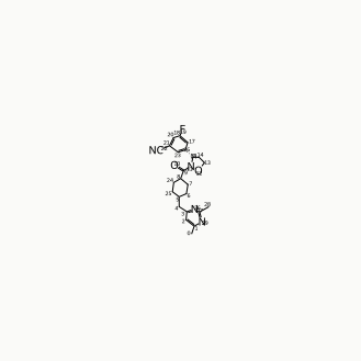 Cc1cc(CC2CCC(C(=O)N3OCC[C@H]3c3cc(F)cc(C#N)c3)CC2)nc(C)n1